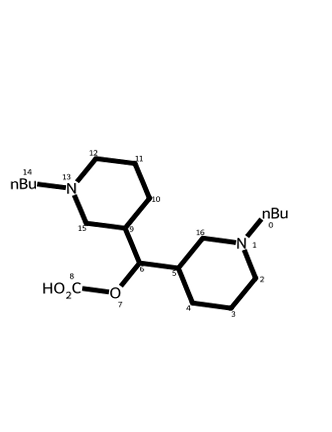 CCCCN1CCCC(C(OC(=O)O)C2CCCN(CCCC)C2)C1